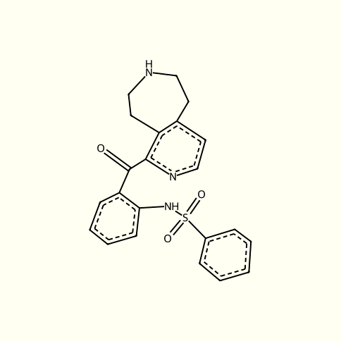 O=C(c1ccccc1NS(=O)(=O)c1ccccc1)c1nccc2c1CCNCC2